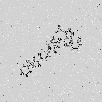 O=C(NS(=O)(=O)C1CCOCC1)c1ccc(N2C[C@@H]3C[C@H]2C[C@@H]3OCc2c(C3CC3)cnn2-c2c(Cl)cccc2Cl)cn1